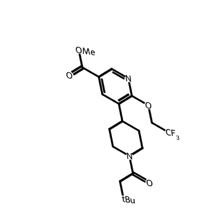 COC(=O)c1cnc(OCC(F)(F)F)c(C2CCN(C(=O)CC(C)(C)C)CC2)c1